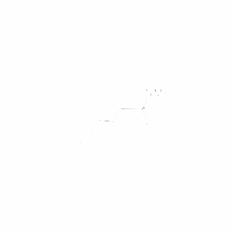 CNC(=O)CCCC(=O)O